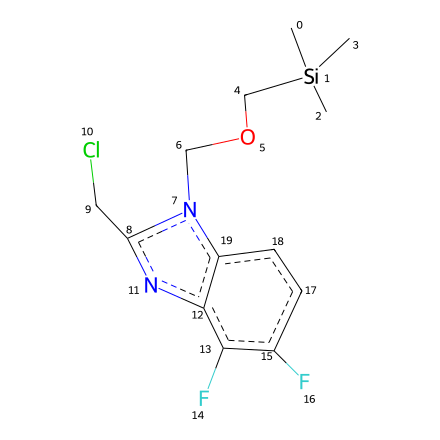 C[Si](C)(C)COCn1c(CCl)nc2c(F)c(F)ccc21